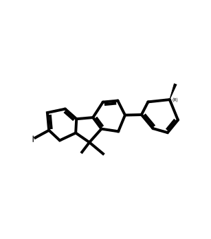 C[C@H]1C=CC=C(C2C=CC3=C(C2)C(C)(C)C2CC(I)=CC=C32)C1